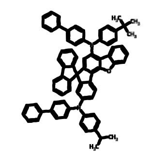 CC(C)c1ccc(N(c2ccc(-c3ccccc3)cc2)c2ccc3c(c2)C2(c4ccccc4-c4ccccc42)c2cc(N(c4ccc(-c5ccccc5)cc4)c4ccc(C(C)(C)C)cc4)c4c(oc5ccccc54)c2-3)cc1